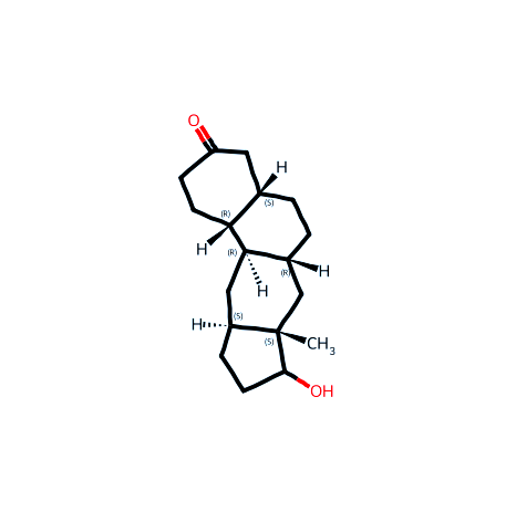 C[C@]12C[C@H]3CC[C@H]4CC(=O)CC[C@H]4[C@@H]3C[C@@H]1CCC2O